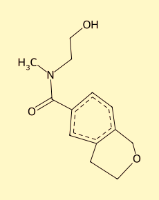 CN(CCO)C(=O)c1ccc2c(c1)CCOC2